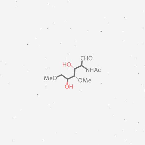 COCC(O)[C@@H](OC)[C@H](O)C(C=O)NC(C)=O